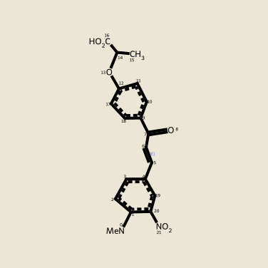 CNc1ccc(/C=C/C(=O)c2ccc(OC(C)C(=O)O)cc2)cc1[N+](=O)[O-]